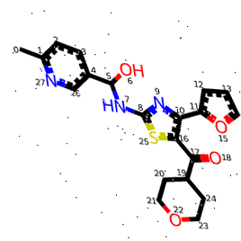 Cc1ccc(C(O)Nc2nc(-c3ccco3)c(C(=O)C3CCOCC3)s2)cn1